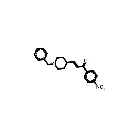 O=C(C=CC1CCN(Cc2ccccc2)CC1)c1ccc([N+](=O)[O-])cc1